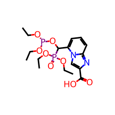 CCOP(OCC)OC(c1cccc2nc(C(=O)O)cn12)P(=O)(OCC)OCC